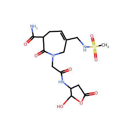 CS(=O)(=O)NCC1=CCC(C(N)=O)C(=O)N(CC(=O)NC2CC(=O)OC2O)C1